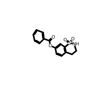 O=C(Oc1ccc2c(c1)S(=O)(=O)NCC2)c1ccccc1